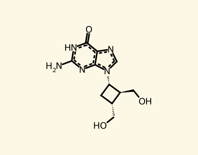 Nc1nc2c(ncn2[C@H]2C[C@@H](CO)[C@@H]2CO)c(=O)[nH]1